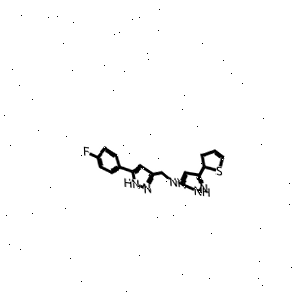 Fc1ccc(-c2cc(CNc3cc(C4CC=CS4)n[nH]3)n[nH]2)cc1